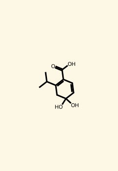 CC(C)C1=C(C(=O)O)C=CC(O)(O)C1